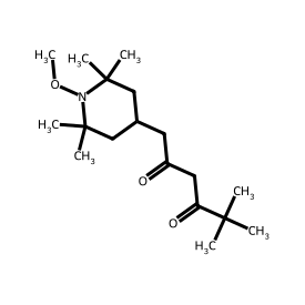 CON1C(C)(C)CC(CC(=O)CC(=O)C(C)(C)C)CC1(C)C